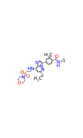 CSc1cc(NCCS(=O)(=O)N2CCOCC2)c2ncc(-c3ccc(C(=O)NC4CC4)c(C)c3)n2n1